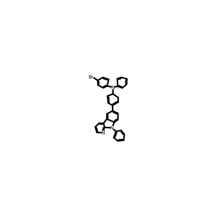 Brc1ccc(N(c2ccccc2)C2C=CC(c3ccc4c(c3)c3cccnc3n4-c3ccccc3)=CC2)cc1